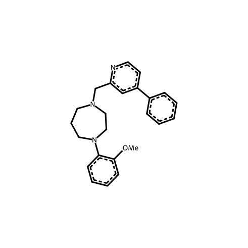 COc1ccccc1N1CCCN(Cc2cc(-c3ccccc3)ccn2)CC1